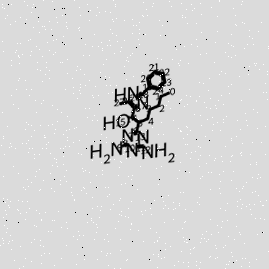 CCCCCC(c1nc(N)nc(N)n1)C(O)c1nc(-c2ccccc2)[nH]c1C